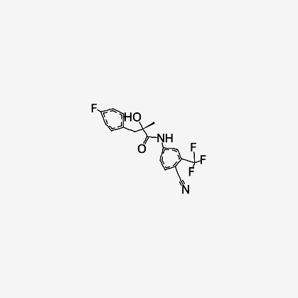 C[C@](O)(Cc1ccc(F)cc1)C(=O)Nc1ccc(C#N)c(C(F)(F)F)c1